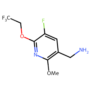 COc1nc(OCC(F)(F)F)c(F)cc1CN